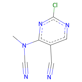 CN(C#N)c1nc(Cl)ncc1C#N